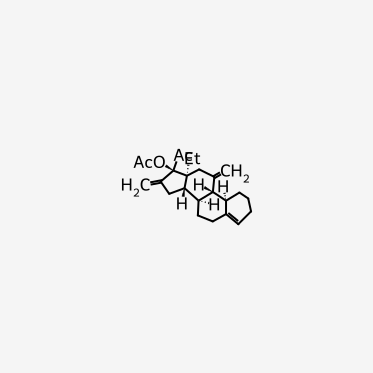 C=C1C[C@@]2(CC)[C@@H](CC(=C)[C@]2(OC(C)=O)C(C)=O)[C@@H]2CCC3=CCCC[C@@H]3[C@@H]12